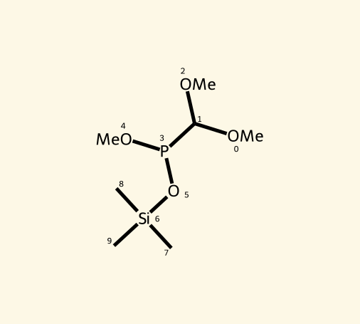 COC(OC)P(OC)O[Si](C)(C)C